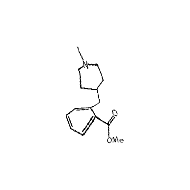 COC(=O)c1ccccc1CC1CCN(C)CC1